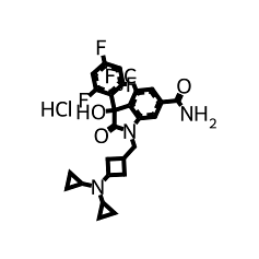 Cl.NC(=O)c1cc2c(c(C(F)(F)F)c1)C(O)(c1c(F)cc(F)cc1F)C(=O)N2CC1CC(N(C2CC2)C2CC2)C1